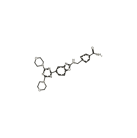 NC(=O)c1ccc(CNc2nc3cc(-c4nc(N5CCOCC5)nc(N5CCOCC5)n4)ccc3o2)cc1